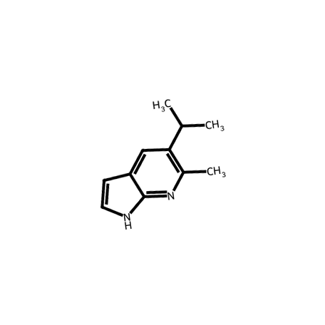 Cc1nc2[nH]ccc2cc1C(C)C